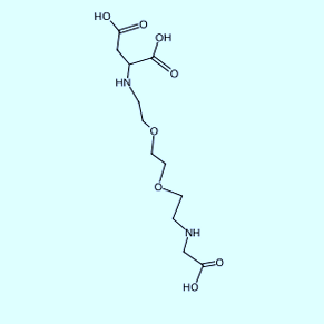 O=C(O)CNCCOCCOCCNC(CC(=O)O)C(=O)O